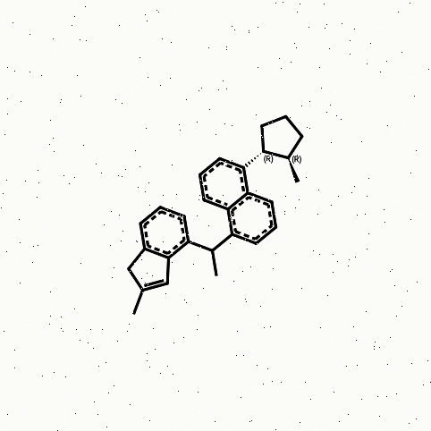 CC1=Cc2c(cccc2C(C)c2cccc3c([C@@H]4CCC[C@H]4C)cccc23)C1